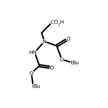 CC(C)(C)OC(=O)NN(CC(=O)O)C(=O)OC(C)(C)C